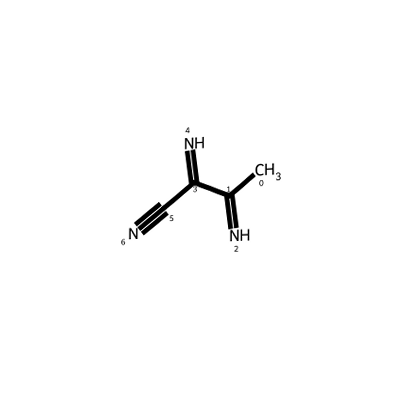 CC(=N)C(=N)C#N